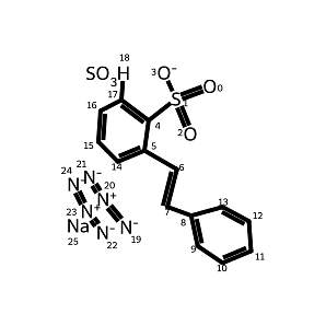 O=S(=O)([O-])c1c(C=Cc2ccccc2)cccc1S(=O)(=O)O.[N-]=[N+]=[N-].[N-]=[N+]=[N-].[Na+]